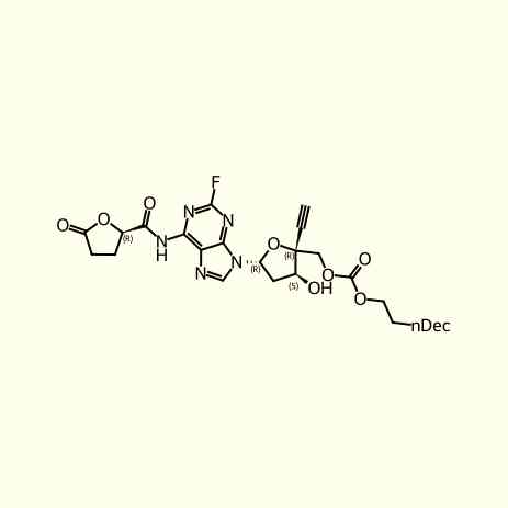 C#C[C@]1(COC(=O)OCCCCCCCCCCCC)O[C@@H](n2cnc3c(NC(=O)[C@H]4CCC(=O)O4)nc(F)nc32)C[C@@H]1O